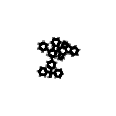 O=P(c1ccccc1)(c1ccccc1)c1ccc(-c2nc(-c3ccccc3)c3c(n2)C2(c4ccccc4-3)c3ccccc3-n3c4ccccc4c4cccc2c43)cc1